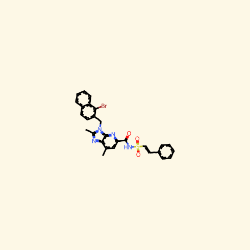 Cc1cc(C(=O)NS(=O)(=O)/C=C/c2ccccc2)nc2c1nc(C)n2Cc1ccc2ccccc2c1Br